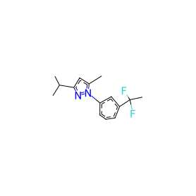 Cc1cc(C(C)C)nn1-c1cccc(C(C)(F)F)c1